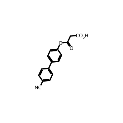 N#Cc1ccc(-c2ccc(OC(=O)CC(=O)O)cc2)cc1